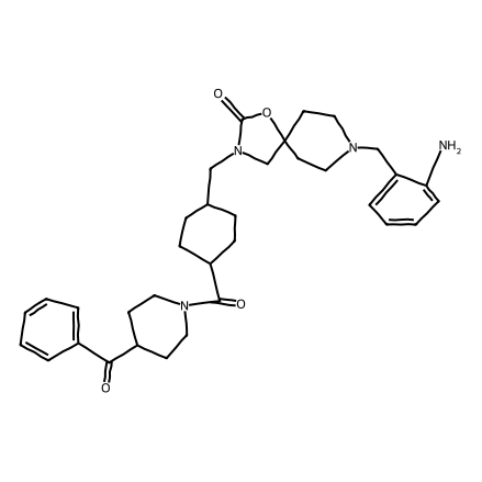 Nc1ccccc1CN1CCC2(CC1)CN(CC1CCC(C(=O)N3CCC(C(=O)c4ccccc4)CC3)CC1)C(=O)O2